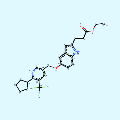 CCOC(=O)CCc1cc2cc(OCc3cnc(C4CCCC4)c(C(F)(F)F)c3)ccc2[nH]1